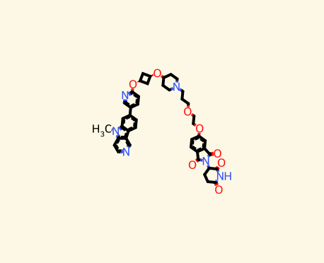 Cn1c2ccncc2c2ccc(-c3ccc(O[C@H]4C[C@H](OC5CCN(CCCOCCOc6ccc7c(c6)C(=O)N(C6CCC(=O)NC6=O)C7=O)CC5)C4)nc3)cc21